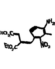 CCOC(=O)C/C(=C\c1ccc(N)c(C)c1[N+](=O)[O-])C(=O)OCC